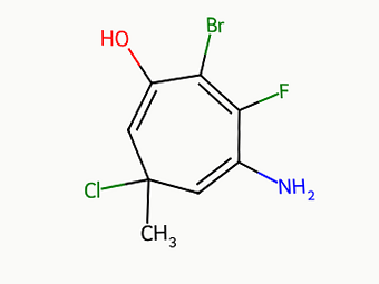 CC1(Cl)C=C(N)C(F)=C(Br)C(O)=C1